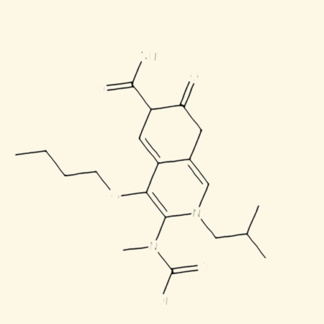 CCCCOC1=C(N(C)C(=O)O)N(CC(C)C)C=C2CC(=O)C(C(N)=O)C=C21